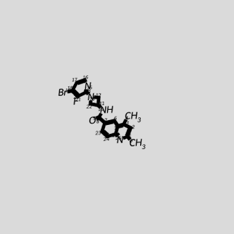 Cc1cc(C)c2cc(C(=O)NC3CN(c4nccc(Br)c4F)C3)ccc2n1